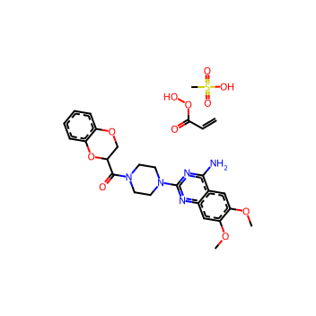 C=CC(=O)OO.COc1cc2nc(N3CCN(C(=O)C4COc5ccccc5O4)CC3)nc(N)c2cc1OC.CS(=O)(=O)O